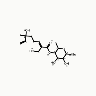 C=CC(C)(O)CC/C=C(\CO)C(=O)OC1C(C)OC(C(C)(C)C)C(O)C1O